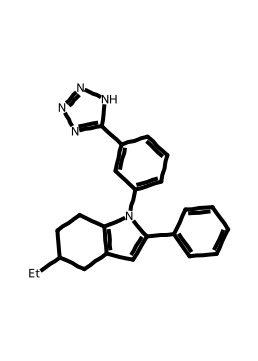 CCC1CCc2c(cc(-c3ccccc3)n2-c2cccc(-c3nnn[nH]3)c2)C1